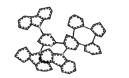 c1ccc2c(c1)-c1ccccc1-c1cc(-c3nc(-n4c5ccccc5c5ccccc54)cc(-n4c5ccccc5c5ccccc54)n3)c(-n3c4ccccc4c4ccccc43)cc1-c1ccccc1-2